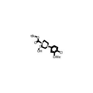 COc1cc(N2CCN(C(=O)OC(C)(C)C)[C@@H](CO)C2)ccc1Cl